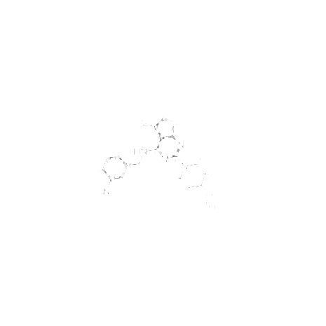 CCOC(=O)OC1CCN(c2nc(NCc3cccc([N+](=O)[O-])c3)c3c(C)csc3n2)CC1